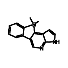 C[Si]1(C)c2ccccc2-c2cnc3[nH]ccc3c21